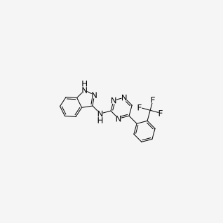 FC(F)(F)c1ccccc1-c1cnnc(Nc2n[nH]c3ccccc23)n1